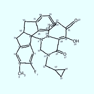 Cc1cc2c(cc1F)C1(N3CN(CC4CC4)C(=O)c4c(O)c(=O)ccn43)c3ccccc3CC1C2